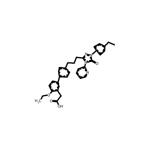 CCOc1ccc(-c2ccc(CCCc3nn(-c4ccc(CI)cc4)c(=O)n3-c3ccccn3)cc2)cc1CC(=O)O